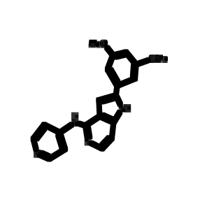 COc1cc(OC)cc(-c2cc3c(Nc4ccncc4)nccc3[nH]2)c1